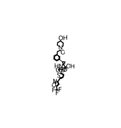 O=C(Cc1cccc(C2CC2(NS(=O)(=O)c2ccc(-c3cc(C(F)(F)F)on3)s2)C(=O)O)c1)N1CCC(O)CC1